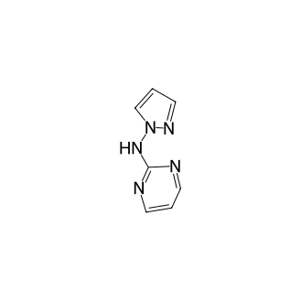 c1cnc(Nn2cccn2)nc1